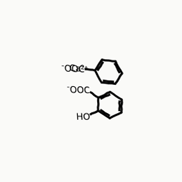 O=C([O-])c1ccccc1.O=C([O-])c1ccccc1O.[Ca+2]